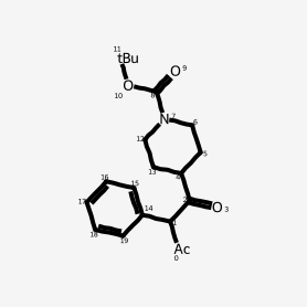 CC(=O)C(C(=O)C1CCN(C(=O)OC(C)(C)C)CC1)c1ccccc1